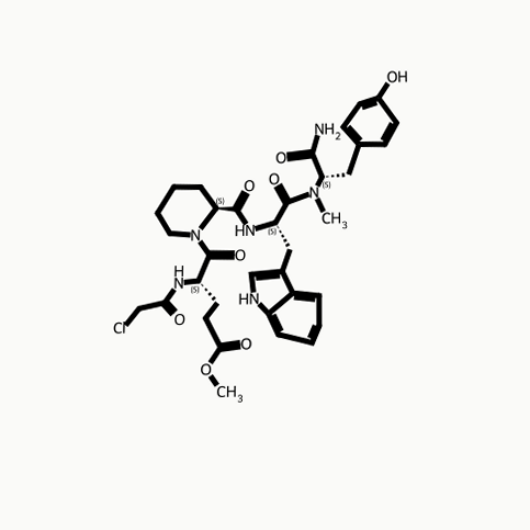 COC(=O)CC[C@H](NC(=O)CCl)C(=O)N1CCCC[C@H]1C(=O)N[C@@H](Cc1c[nH]c2ccccc12)C(=O)N(C)[C@@H](Cc1ccc(O)cc1)C(N)=O